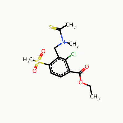 CCOC(=O)c1ccc(S(C)(=O)=O)c(CN(C)C(C)=S)c1Cl